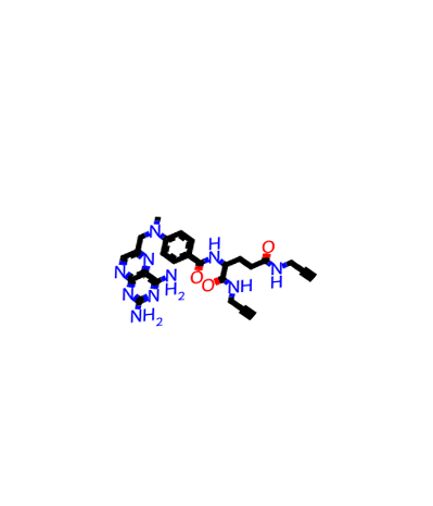 C#CCNC(=O)CCC(NC(=O)c1ccc(N(C)Cc2cnc3nc(N)nc(N)c3n2)cc1)C(=O)NCC#C